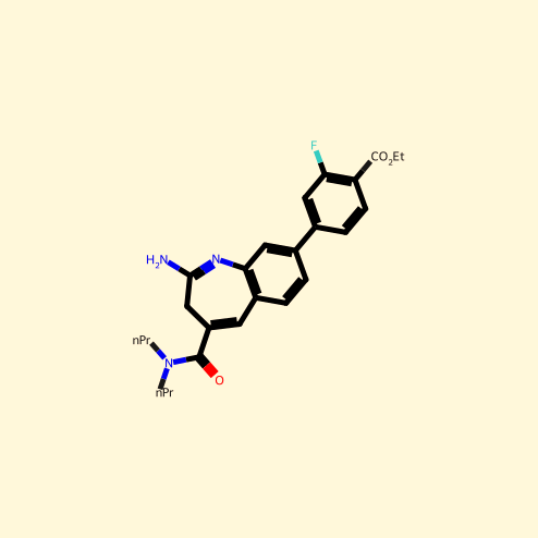 CCCN(CCC)C(=O)C1=Cc2ccc(-c3ccc(C(=O)OCC)c(F)c3)cc2N=C(N)C1